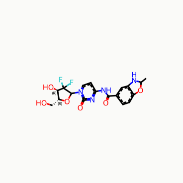 CC1Nc2cc(C(=O)Nc3ccn(C4O[C@H](CO)[C@@H](O)C4(F)F)c(=O)n3)ccc2O1